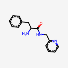 NC(Cc1ccccc1)C(=O)NCc1ccccn1